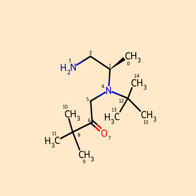 C[C@H](CN)N(CC(=O)C(C)(C)C)C(C)(C)C